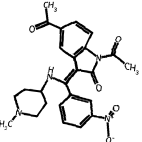 CC(=O)c1ccc2c(c1)C(=C(NC1CCN(C)CC1)c1cccc([N+](=O)[O-])c1)C(=O)N2C(C)=O